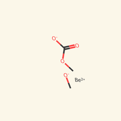 COC(=O)[O-].C[O-].[Be+2]